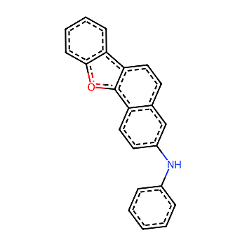 c1ccc(Nc2ccc3c(ccc4c5ccccc5oc34)c2)cc1